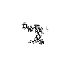 COCCOC1(c2nnc[nH]2)CCC(c2nc3c(-c4cnn(-c5ccccc5)c4)cnn3c(N)c2I)CC1